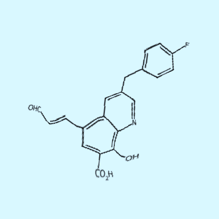 O=C/C=C/c1cc(C(=O)O)c(O)c2ncc(Cc3ccc(F)cc3)cc12